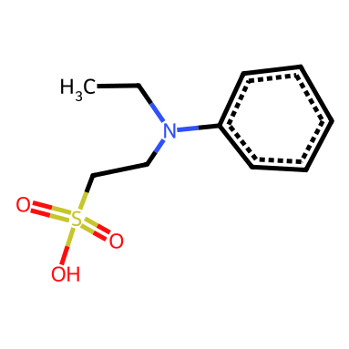 CCN(CCS(=O)(=O)O)c1ccccc1